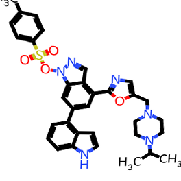 Cc1ccc(S(=O)(=O)On2ncc3c(-c4ncc(CN5CCN(C(C)C)CC5)o4)cc(-c4cccc5[nH]ccc45)cc32)cc1